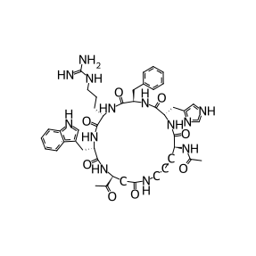 CC(=O)N[C@H]1CCCNC(=O)C[C@@H](C(C)=O)NC(=O)[C@H](Cc2c[nH]c3ccccc23)NC(=O)[C@H](CCCNC(=N)N)NC(=O)[C@@H](Cc2ccccc2)NC(=O)[C@H](Cc2c[nH]cn2)NC1=O